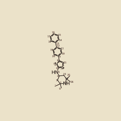 CC1(C)CC(Nc2nc(-c3ccc(-c4ccccc4)cc3)cs2)CC(C)(C)N1